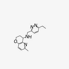 CCc1ccc(CNC2CCOc3ccc(C)nc32)nn1